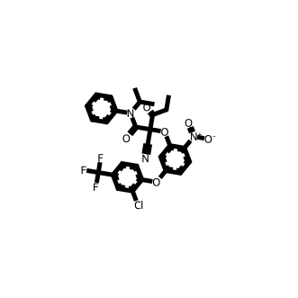 CCC(=O)C(C#N)(Oc1cc(Oc2ccc(C(F)(F)F)cc2Cl)ccc1[N+](=O)[O-])C(=O)N(c1ccccc1)C(C)C